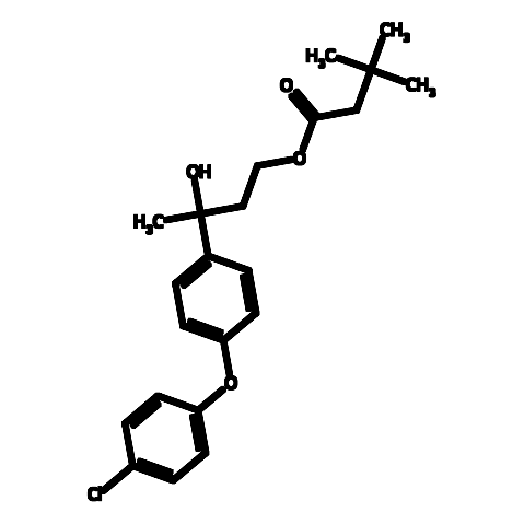 CC(C)(C)CC(=O)OCCC(C)(O)c1ccc(Oc2ccc(Cl)cc2)cc1